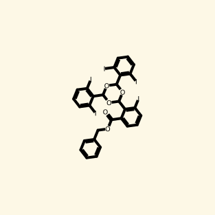 O=C(OCc1ccccc1)c1cccc(I)c1C1OC(c2c(I)cccc2I)OC(c2c(I)cccc2I)O1